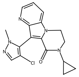 Cn1ncc(Cl)c1-c1c2n(c3cccnc13)CCN(C1CC1)C2=O